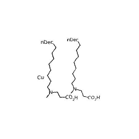 CCCCCCCCCCCCCCCCCCN(C)CCC(=O)O.CCCCCCCCCCCCCCCCCCN(C)CCC(=O)O.[Cu]